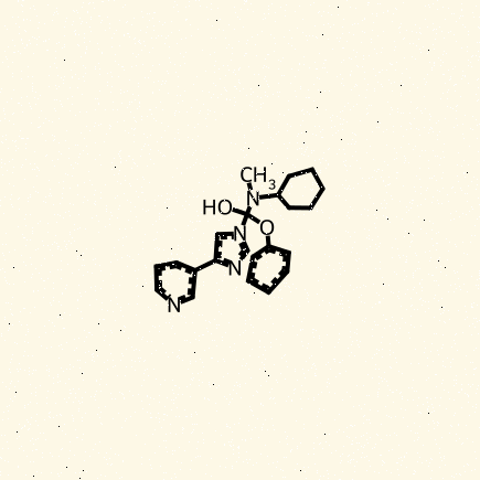 CN(C1CCCCC1)C(O)(Oc1ccccc1)n1cnc(-c2cccnc2)c1